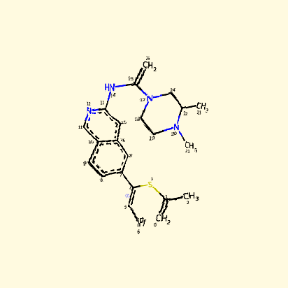 C=C(C)S/C(=C\C(C)C)c1ccc2cnc(NC(=C)N3CCN(C)C(C)C3)cc2c1